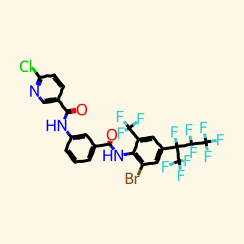 O=C(Nc1cccc(C(=O)Nc2c(Br)cc(C(F)(C(F)(F)F)C(F)(F)C(F)(F)F)cc2C(F)(F)F)c1)c1ccc(Cl)nc1